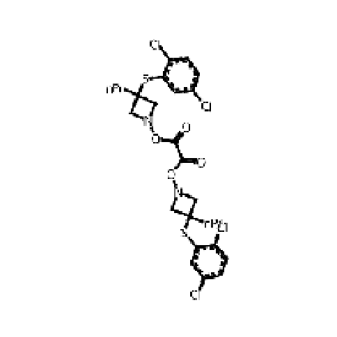 CCCC1(Sc2cc(Cl)ccc2Cl)CN(OC(=O)C(=O)ON2CC(CCC)(Sc3cc(Cl)ccc3Cl)C2)C1